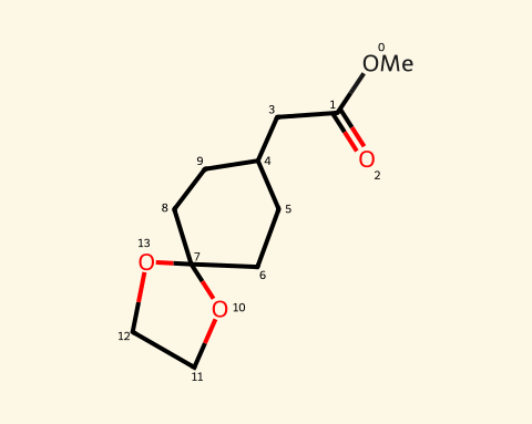 COC(=O)CC1CCC2(CC1)OCCO2